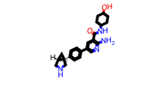 Nc1ncc(-c2ccc([C@]34CNC[C@H]3C4)cc2)cc1C(=O)NC1CCC(O)CC1